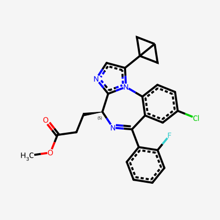 COC(=O)CC[C@@H]1N=C(c2ccccc2F)c2cc(Cl)ccc2-n2c(C34CC3C4)cnc21